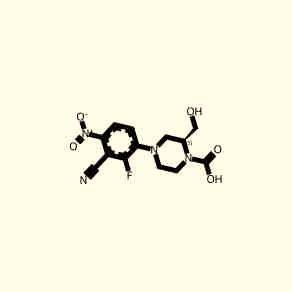 N#Cc1c([N+](=O)[O-])ccc(N2CCN(C(=O)O)[C@H](CO)C2)c1F